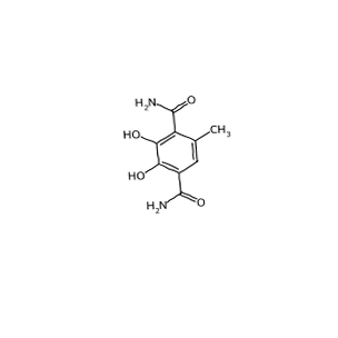 Cc1cc(C(N)=O)c(O)c(O)c1C(N)=O